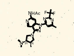 CC(=O)Nc1cc2c(cn1)c(N1C[C@@H](C)[C@@H](N(C)C)C1)nn2-c1cc(C)nc(C(C)(F)F)n1